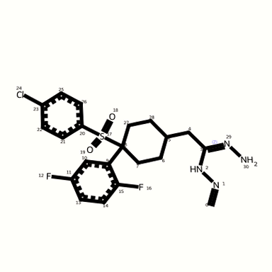 C=NN/C(CC1CCC(c2cc(F)ccc2F)(S(=O)(=O)c2ccc(Cl)cc2)CC1)=N\N